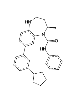 C[C@@H]1CCNc2ccc(-c3cccc(C4CCCC4)c3)cc2N1C(=O)Nc1ccccc1